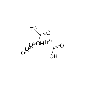 O=[C](O)[Ti+3].O=[C](O)[Ti+3].[O-2].[O-2].[O-2]